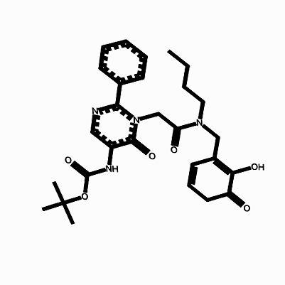 CCCCN(CC1=C(O)C(=O)CC=C1)C(=O)Cn1c(-c2ccccc2)ncc(NC(=O)OC(C)(C)C)c1=O